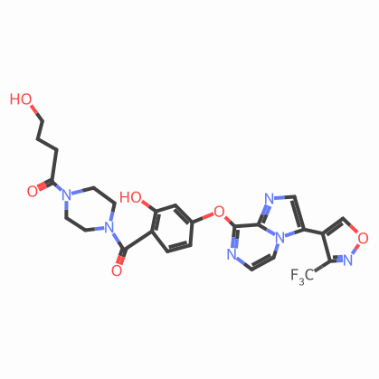 O=C(CCCO)N1CCN(C(=O)c2ccc(Oc3nccn4c(-c5conc5C(F)(F)F)cnc34)cc2O)CC1